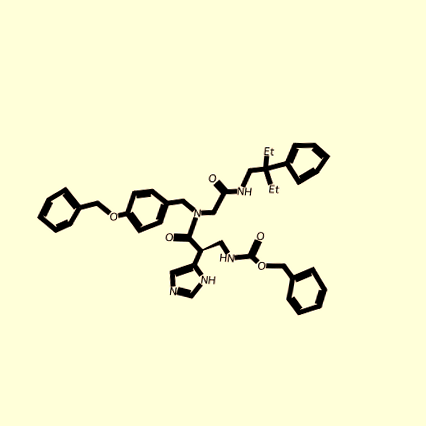 CCC(CC)(CNC(=O)CN(Cc1ccc(OCc2ccccc2)cc1)C(=O)[C@@H](CNC(=O)OCc1ccccc1)c1cnc[nH]1)c1ccccc1